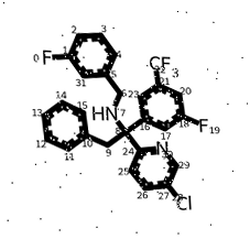 Fc1cccc(CNC(Cc2ccccc2)(c2cc(F)cc(C(F)(F)F)c2)c2ccc(Cl)cn2)c1